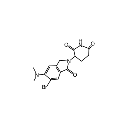 CN(C)c1cc2c(cc1Br)C(=O)N(C1CCC(=O)NC1=O)C2